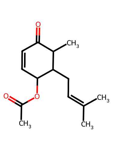 CC(=O)OC1C=CC(=O)C(C)C1CC=C(C)C